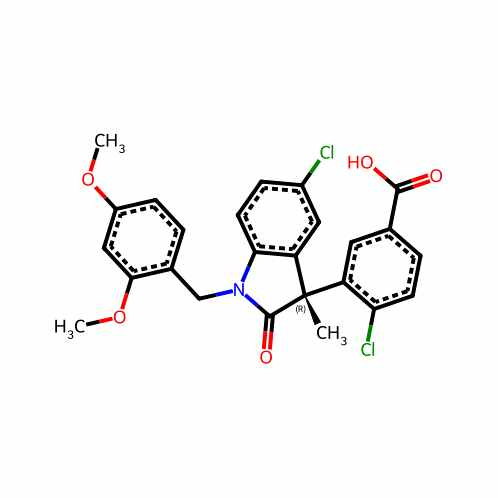 COc1ccc(CN2C(=O)[C@@](C)(c3cc(C(=O)O)ccc3Cl)c3cc(Cl)ccc32)c(OC)c1